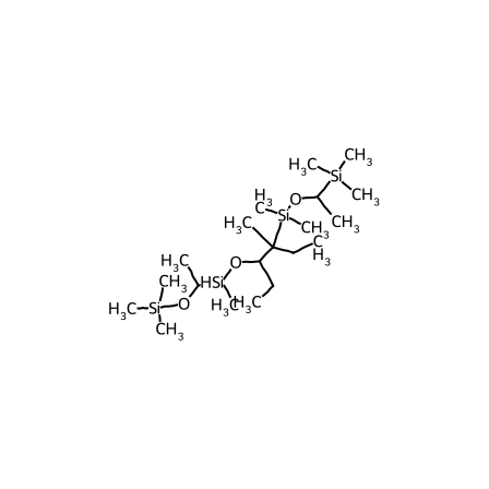 CCC(O[SiH](C)C(C)O[Si](C)(C)C)C(C)(CC)[Si](C)(C)OC(C)[Si](C)(C)C